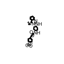 CN(C)c1nc(NC2CCC(NC(=O)OCc3ccc([N+](=O)[O-])cc3)CC2)nc2ccccc12